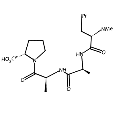 CN[C@@H](CC(C)C)C(=O)N[C@@H](C)C(=O)N[C@@H](C)C(=O)N1CCC[C@H]1C(=O)O